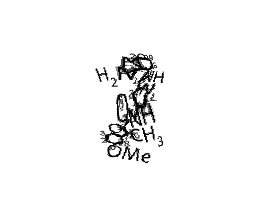 COc1ccc2oc(C(=O)Nc3ccnc(CNc4cccnc4N)c3)c(C)c2c1